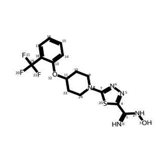 N=C(NO)c1nnc(N2CCC(Oc3ccccc3C(F)(F)F)CC2)s1